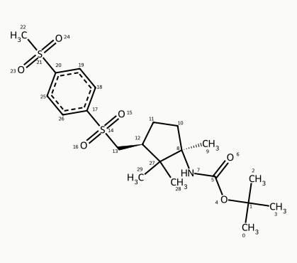 CC(C)(C)OC(=O)N[C@]1(C)CC[C@H](CS(=O)(=O)c2ccc(S(C)(=O)=O)cc2)C1(C)C